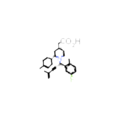 C=C(C)C#C[C@@H](c1cc(F)ccc1C)N1CC[C@H](CC(=O)O)C[C@@H]1C1C=CC(C)=CC1